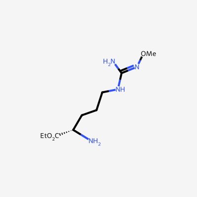 CCOC(=O)[C@@H](N)CCCN/C(N)=N/OC